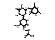 COc1cc(-c2cc(=Nc3c(C)cc(C)cc3C)n(C)c(=O)n2C)ccc1OCC(=O)O